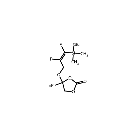 CCCC1(OCC(F)=C(F)[Si](C)(C)C(C)(C)C)COC(=O)O1